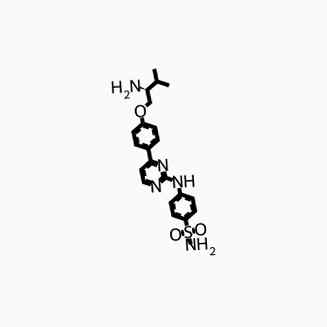 CC(C)[C@@H](N)COc1ccc(-c2ccnc(Nc3ccc(S(N)(=O)=O)cc3)n2)cc1